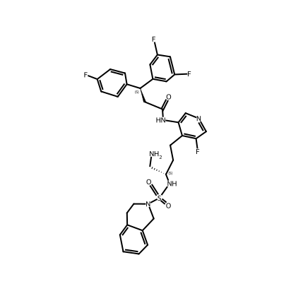 NC[C@H](CCc1c(F)cncc1NC(=O)C[C@@H](c1ccc(F)cc1)c1cc(F)cc(F)c1)NS(=O)(=O)N1CCc2ccccc2C1